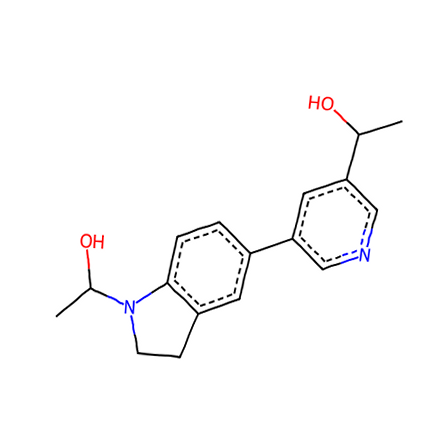 CC(O)c1cncc(-c2ccc3c(c2)CCN3C(C)O)c1